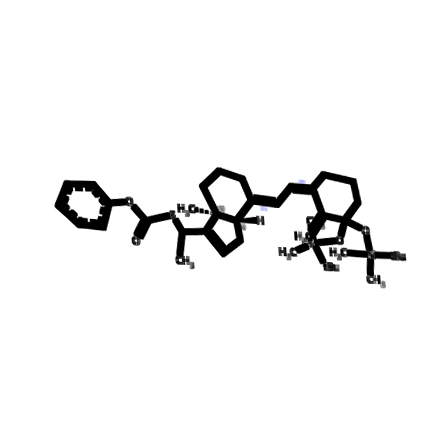 C=C1/C(=C\C=C2/CCC[C@]3(C)C(C(C)SC(=O)Oc4ccccc4)=CC[C@@H]23)CCCC1(O[Si](C)(C)C(C)(C)C)O[Si](C)(C)C(C)(C)C